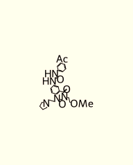 COCCn1c(=O)c2cc(NC(=O)Nc3cccc(C(C)=O)c3)ccc2n(CCN2CCCC2)c1=O